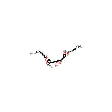 CCCCCCCC(=O)Oc1ccc(/C=C/C(=O)/C=C(O)/C=C/c2ccc(OC(=O)CCCCCCC)c(OC)c2)cc1OC